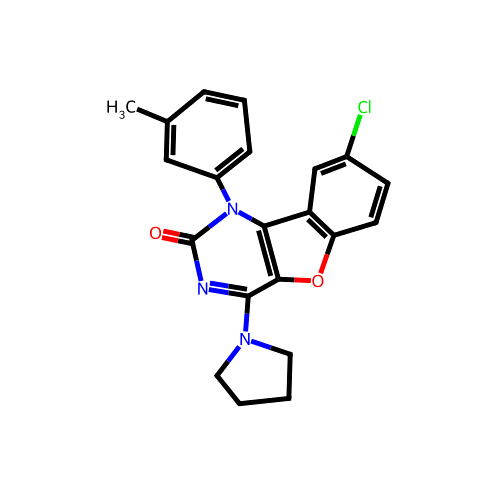 Cc1cccc(-n2c(=O)nc(N3CCCC3)c3oc4ccc(Cl)cc4c32)c1